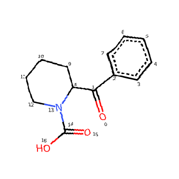 O=C(c1ccccc1)C1CCCCN1C(=O)O